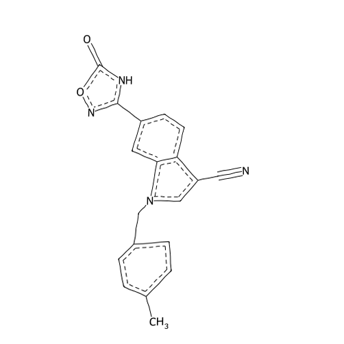 Cc1ccc(Cn2cc(C#N)c3ccc(-c4noc(=O)[nH]4)cc32)cc1